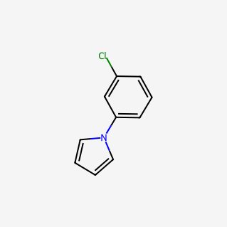 Clc1cccc(-n2cccc2)c1